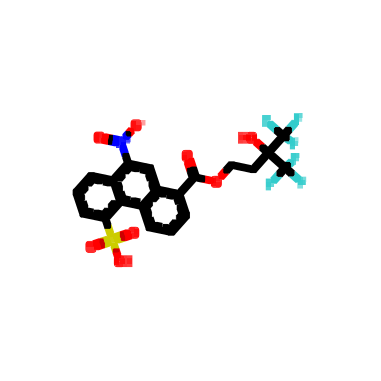 O=C(OCCC(O)(C(F)(F)F)C(F)(F)F)c1cccc2c1cc([N+](=O)[O-])c1cccc(S(=O)(=O)O)c12